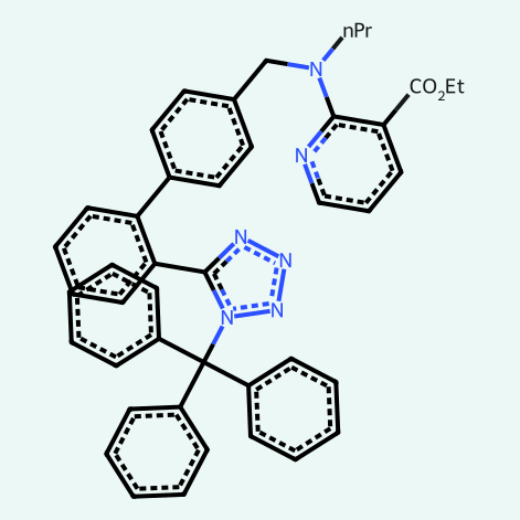 CCCN(Cc1ccc(-c2ccccc2-c2nnnn2C(c2ccccc2)(c2ccccc2)c2ccccc2)cc1)c1ncccc1C(=O)OCC